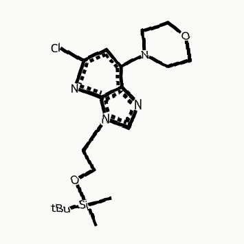 CC(C)(C)[Si](C)(C)OCCn1cnc2c(N3CCOCC3)cc(Cl)nc21